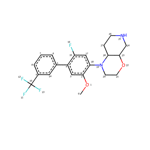 COc1cc(-c2cccc(C(F)(F)F)c2)c(F)cc1N1CCOC2CNCCC21